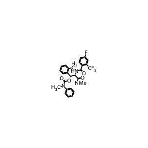 CNC(=O)[C@@H](NC(=O)c1ccc(F)cc1C(F)(F)F)[C@H](OC(=O)N(C)c1ccccc1)c1ccccc1C